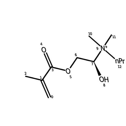 C=C(C)C(=O)OC[C@H](O)[N+](C)(C)CCC